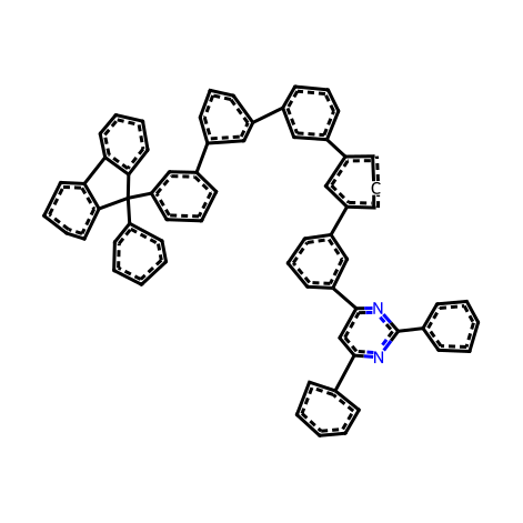 c1ccc(-c2cc(-c3cccc(-c4cccc(-c5cccc(-c6cccc(-c7cccc(C8(c9ccccc9)c9ccccc9-c9ccccc98)c7)c6)c5)c4)c3)nc(-c3ccccc3)n2)cc1